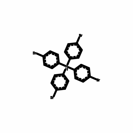 Brc1ccc([PH](c2ccc(Br)cc2)(c2ccc(Br)cc2)c2ccc(Br)cc2)cc1